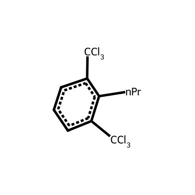 [CH2]CCc1c(C(Cl)(Cl)Cl)cccc1C(Cl)(Cl)Cl